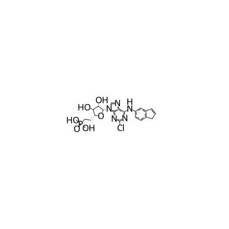 O=P(O)(O)CC[C@H]1O[C@@H](n2cnc3c(Nc4ccc5c(c4)C=CC5)nc(Cl)nc32)[C@@H](O)C1O